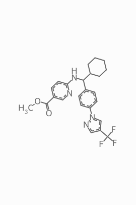 COC(=O)c1ccc(NC(c2ccc(-n3cc(C(F)(F)F)cn3)cc2)C2CCCCC2)nc1